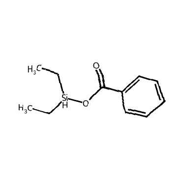 CC[SiH](CC)OC(=O)c1ccccc1